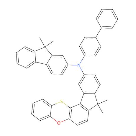 CC1(C)c2ccccc2-c2ccc(N(c3ccc(-c4ccccc4)cc3)c3ccc4c(c3)-c3c(ccc5c3Sc3ccccc3O5)C4(C)C)cc21